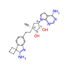 C#C[C@]1(CCc2ccc3c(c2)N=C(N)C32CCC2)C[C@@H](n2ccc3c(N)ncnc32)[C@H](O)[C@@H]1O